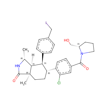 C[C@H]1NC(=O)[C@]2(C)CC[C@@H](c3ccc(C(=O)N4CCC[C@H]4CO)cc3Cl)[C@H](c3ccc(CI)cc3)[C@H]12